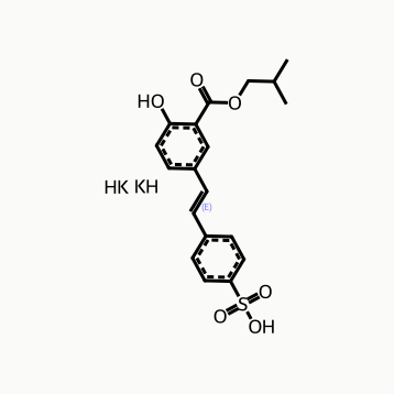 CC(C)COC(=O)c1cc(/C=C/c2ccc(S(=O)(=O)O)cc2)ccc1O.[KH].[KH]